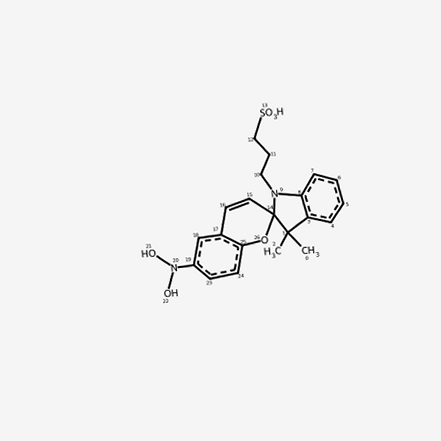 CC1(C)c2ccccc2N(CCCS(=O)(=O)O)C12C=Cc1cc(N(O)O)ccc1O2